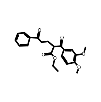 CCOC(=O)C(CCC(=O)c1ccccc1)C(=O)c1ccc(OC)c(OC)c1